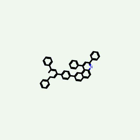 C/C(=C\C(=C/Cc1ccccc1)c1ccc(-c2ccc3ccc4nc(-c5ccccc5)cc(-c5ccccc5)c4c3c2)cc1)c1ccccc1